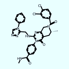 CNC(=O)c1ccc(-n2c(NCc3nncn3-c3ccccc3)nc3c(c2=O)C[C@@H](C)N(C(=O)c2ccc(Cl)c(Cl)c2)C3)cc1